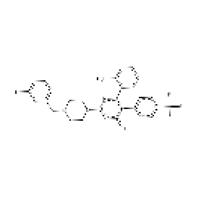 Cc1ccccc1-c1nc(N2CCN(Cc3cccc(F)c3)CC2)cc(=O)n1-c1ccc(C(F)(F)F)cc1